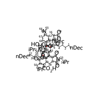 CCCCCCCCCCCCCCCCC(CC1C(=O)OC(=O)C1C)C(C(=O)O)C(CC(CCCCCCCCCCCCCCCC)C1C(=O)N(CC(C)C)C(=O)C1CC(CCCCCCCCCCCCCCCC)C(C(=O)O)C(CC(C)C)C(=O)OCCNC(=O)c1ccc(N(C)C)cc1)C(=O)NCC(C)C